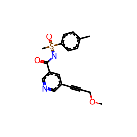 COCC#Cc1cncc(C(=O)N=S(C)(=O)c2ccc(C)cc2)c1